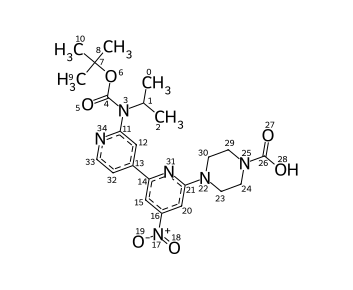 CC(C)N(C(=O)OC(C)(C)C)c1cc(-c2cc([N+](=O)[O-])cc(N3CCN(C(=O)O)CC3)n2)ccn1